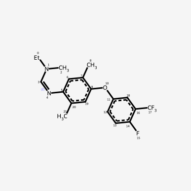 CCN(C)/C=N\c1cc(C)c(Oc2ccc(F)c(C(F)(F)F)c2)cc1C